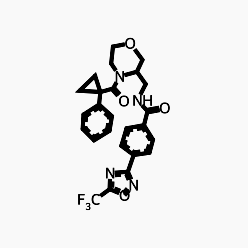 O=C(NCC1COCCN1C(=O)C1(c2ccccc2)CC1)c1ccc(-c2noc(C(F)(F)F)n2)cc1